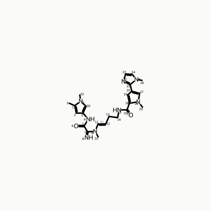 Cc1cc(NC(=O)C(=N)N(C)/C=C/CCNC(=O)c2cc(-c3nccn3C)cn2C)cn1C